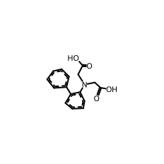 O=C(O)CN(CC(=O)O)c1ccccc1-c1ccccc1